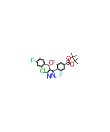 Cc1nn(C)c(-c2c(F)cc(B3OC(C)(C)C(C)(C)O3)cc2F)c1C(=O)c1ccc(F)cc1Cl